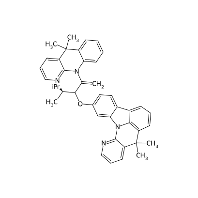 C=C(C(Oc1ccc2c3cccc4c3n(c2c1)-c1ncccc1C4(C)C)[C@@H](C)C(C)C)N1c2ccccc2C(C)(C)c2cccnc21